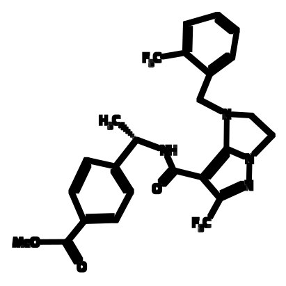 COC(=O)c1ccc([C@H](C)NC(=O)c2c(C(F)(F)F)nn3c2N(Cc2ccccc2C(F)(F)F)CC3)cc1